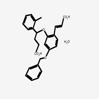 Cc1ccccc1C(CCC(=O)O)Oc1cc(OCc2ccccc2)ccc1C=CC(=O)O.O